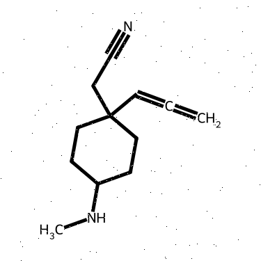 C=C=CC1(CC#N)CCC(NC)CC1